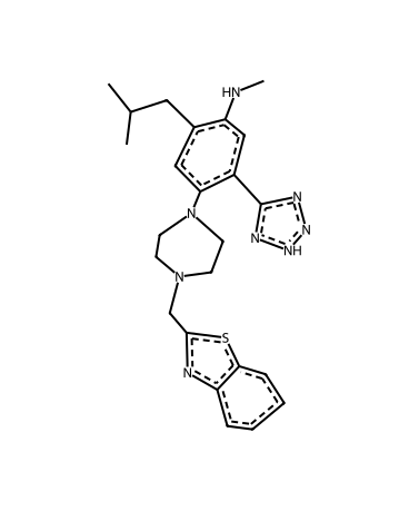 CNc1cc(-c2nn[nH]n2)c(N2CCN(Cc3nc4ccccc4s3)CC2)cc1CC(C)C